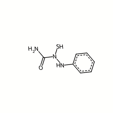 NC(=O)N(S)Nc1ccccc1